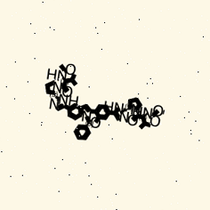 COC(=O)N[C@H](C(=O)N1CCC[C@H]1c1ncc(-c2ccc3c(c2)O[C@@H](c2ccccc2)n2c-3cc3cc(-c4cnc([C@@H]5CCCN5C(=O)[C@@H](NC(C)=O)C(C)C)[nH]4)ccc32)[nH]1)C(C)C